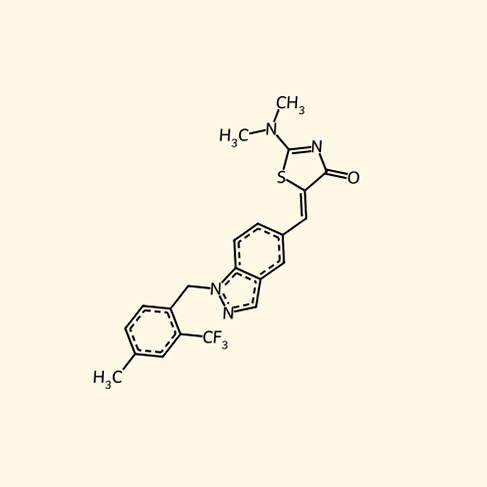 Cc1ccc(Cn2ncc3cc(/C=C4\SC(N(C)C)=NC4=O)ccc32)c(C(F)(F)F)c1